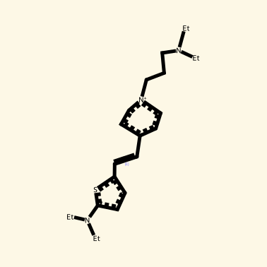 CCN(CC)CCC[n+]1ccc(/C=C/c2ccc(N(CC)CC)s2)cc1